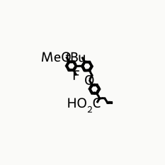 C=CCC(C(=O)O)c1ccc(OCc2ccc(C(C)(C)C)c(-c3cc(OC)ccc3F)c2)cc1